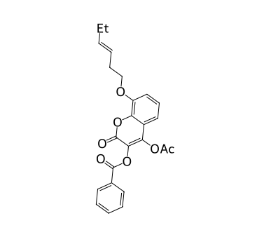 CCC=CCCOc1cccc2c(OC(C)=O)c(OC(=O)c3ccccc3)c(=O)oc12